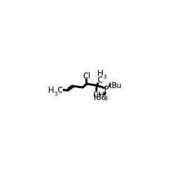 CC=CCC(Cl)C(C)(C)P(C(C)(C)C)C(C)(C)C